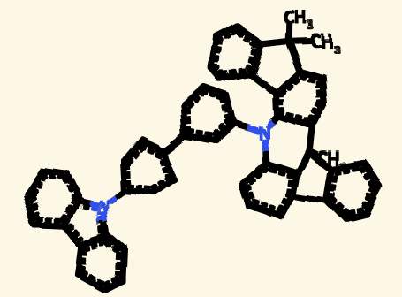 CC1(C)c2ccccc2-c2c1ccc1c2N(c2cccc(-c3ccc(-n4c5ccccc5c5ccccc54)cc3)c2)c2cccc3c2C1(C)c1ccccc1-3